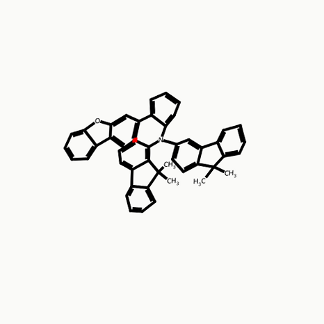 CC1(C)c2ccccc2-c2cc(N(c3ccccc3-c3ccc4c(c3)oc3ccccc34)c3cccc4c3C(C)(C)c3ccccc3-4)ccc21